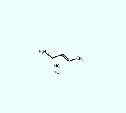 C/C=C/CN.Cl.Cl